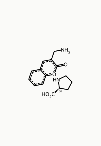 NCc1cc2ccccc2oc1=O.O=C(O)[C@@H]1CCCN1